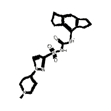 CN1CCC(n2ccc(S(=O)(=O)NC(=O)Nc3c4c(cc5c3CCC5)CCC4)n2)CC1